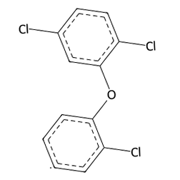 Clc1ccc(Cl)c(Oc2cc[c]cc2Cl)c1